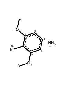 COc1cccc(OC)c1Br.N